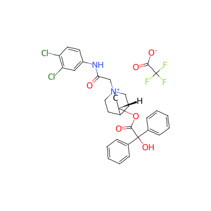 O=C(C[N+]12CCC(CC1)[C@@H](OC(=O)C(O)(c1ccccc1)c1ccccc1)C2)Nc1ccc(Cl)c(Cl)c1.O=C([O-])C(F)(F)F